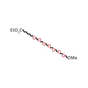 CCOC(=O)CCCCCCCOCCOCCOCCOCCOCCOCCOCCOC